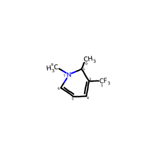 CC1C(C(F)(F)F)=CC=CN1C